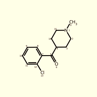 CN1CCC(C(=O)c2ccccc2Cl)CC1